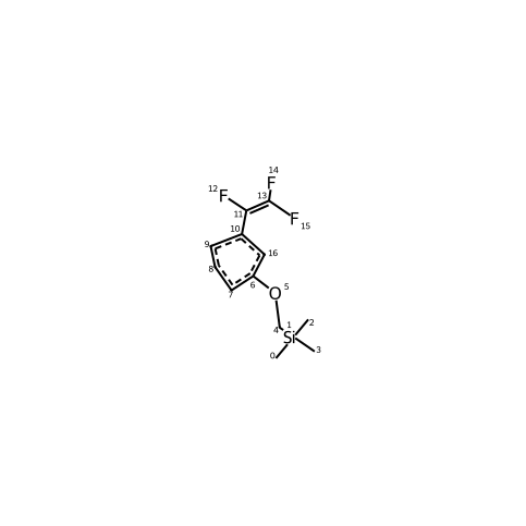 C[Si](C)(C)COc1cccc(C(F)=C(F)F)c1